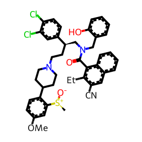 CCc1c(C#N)cc2ccccc2c1C(=O)N(Cc1ccccc1O)C[C@@H](CCN1CCC(c2ccc(OC)cc2[S@+](C)[O-])CC1)c1ccc(Cl)c(Cl)c1